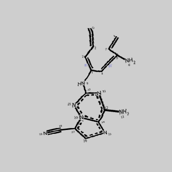 C=C/C=C(\C=C(\N)C=C)Nc1nc(N)c2ncc(C#N)n2n1